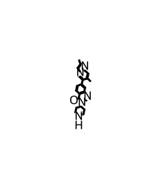 Cc1cn2cc(-c3ccc4c(=O)n(C5CCNCC5)cnc4c3)c(C)cc2n1